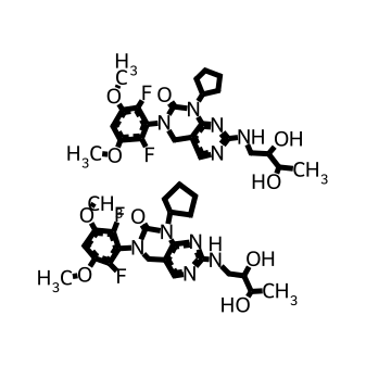 COc1cc(OC)c(F)c(N2Cc3cnc(NCC(O)C(C)O)nc3N(C3CCCC3)C2=O)c1F.COc1cc(OC)c(F)c(N2Cc3cnc(NCC(O)C(C)O)nc3N(C3CCCC3)C2=O)c1F